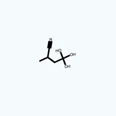 CC(C#N)CC(O)(O)O